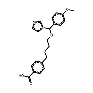 COc1ccc(C(OCCOCc2ccc(C(=O)O)cc2)n2ccnc2)cc1